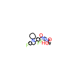 O=C(c1ccc(C2CCc3cc(F)ccc3N2C2CCCCCCCC2)c(F)c1F)N1CCN(C(=O)C2(O)CC2)CC1